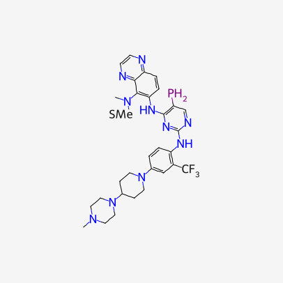 CSN(C)c1c(Nc2nc(Nc3ccc(N4CCC(N5CCN(C)CC5)CC4)cc3C(F)(F)F)ncc2P)ccc2nccnc12